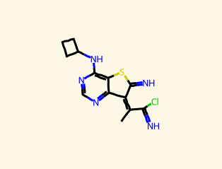 C/C(C(=N)Cl)=C1/C(=N)Sc2c(NC3CCC3)ncnc21